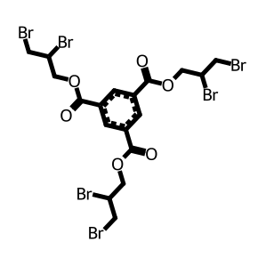 O=C(OCC(Br)CBr)c1cc(C(=O)OCC(Br)CBr)cc(C(=O)OCC(Br)CBr)c1